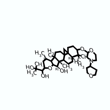 C[C@@H]1CC(C(O)C(C)(C)O)OC2C1C1(C)CCC34CC35CCC(OC3CN(C6CCOCC6)CCO3)C(C)(C)[C@@H]5CCC4[C@]1(C)[C@H]2O